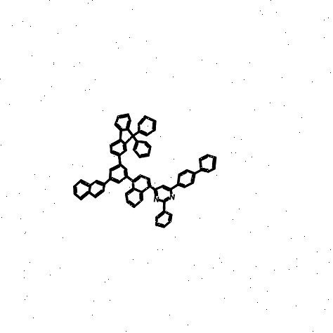 c1ccc(-c2ccc(-c3cc(-c4ccc(-c5cc(-c6ccc7c(c6)C(c6ccccc6)(c6ccccc6)c6ccccc6-7)cc(-c6ccc7ccccc7c6)c5)c5ccccc45)nc(-c4ccccc4)n3)cc2)cc1